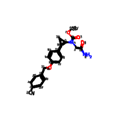 CC(C)(C)OC(=O)N(CC(N)=O)C1CC1c1ccc(OCc2ccc(C#N)cc2)cc1